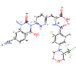 Cc1cc(N2CCOC[C@@H]2C(F)(F)F)cc(F)c1C(=O)N[C@@H](Cc1ccc(N2C(=O)N(C)c3cc(C#N)ccc3C2O)nc1)C(=O)O